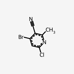 Cc1nc(Cl)cc(Br)c1C#N